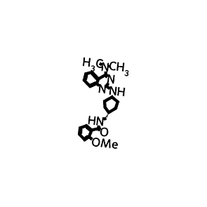 COc1ccccc1C(=O)NC[C@H]1CC[C@@H](Nc2nc(N(C)C)c3ccccc3n2)CC1